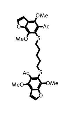 COc1c(C(C)=O)c(SCCCCCSc2c(C(C)=O)c(OC)c3ccoc3c2OC)c(OC)c2occc12